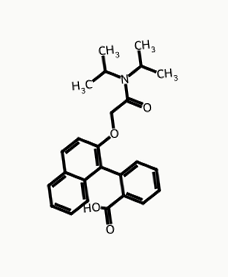 CC(C)N(C(=O)COc1ccc2ccccc2c1-c1ccccc1C(=O)O)C(C)C